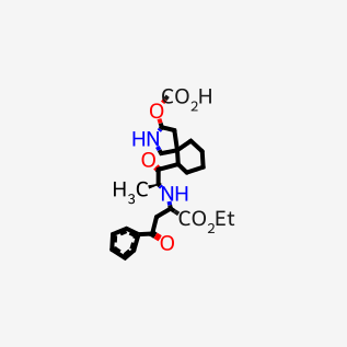 CCOC(=O)C(CC(=O)c1ccccc1)N[C@@H](C)C(=O)C1CCCCC12CNC(OC(=O)O)C2